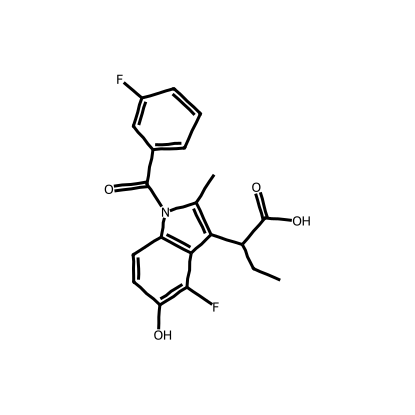 CCC(C(=O)O)c1c(C)n(C(=O)c2cccc(F)c2)c2ccc(O)c(F)c12